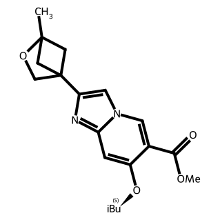 CC[C@H](C)Oc1cc2nc(C34COC(C)(C3)C4)cn2cc1C(=O)OC